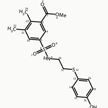 COC(=O)c1cc(S(=O)(=O)NCCSc2ccc(O)cc2)cc(C)c1C